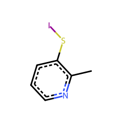 Cc1ncccc1SI